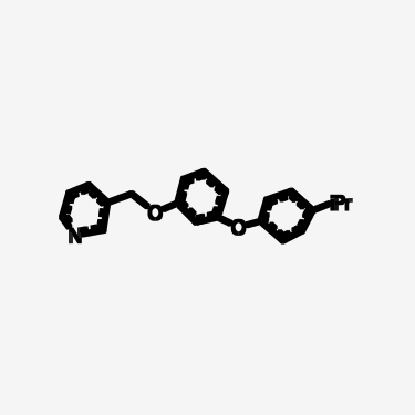 CC(C)c1ccc(Oc2cccc(OCc3cccnc3)c2)cc1